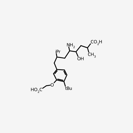 CC(CC(O)C(N)CC(Cc1ccc(C(C)(C)C)c(OCC(=O)O)c1)C(C)C)C(=O)O